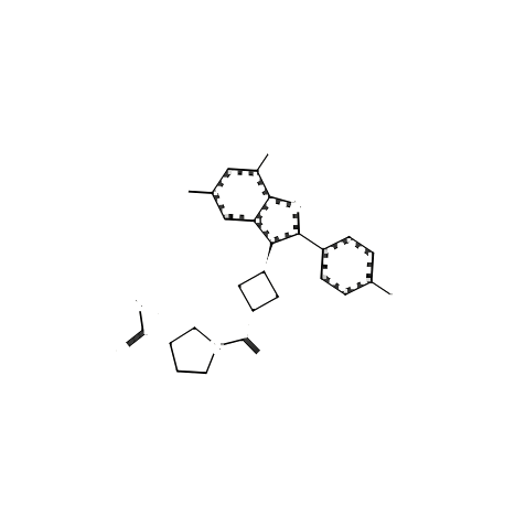 NC(=O)[C@H]1CCN(C(=O)[C@H]2C[C@H](c3c(-c4ccc(F)cc4)[nH]c4c(F)cc(F)cc43)C2)C1